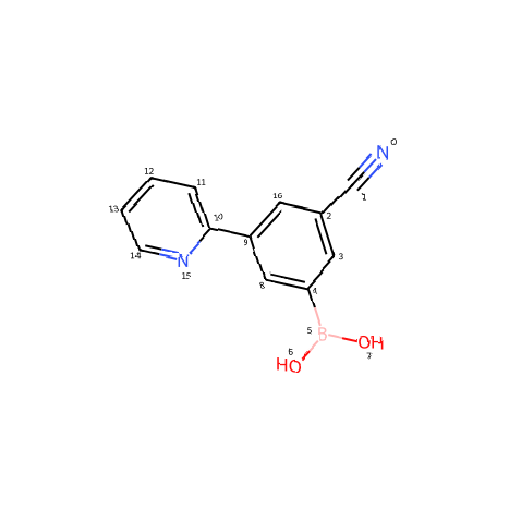 N#Cc1cc(B(O)O)cc(-c2ccccn2)c1